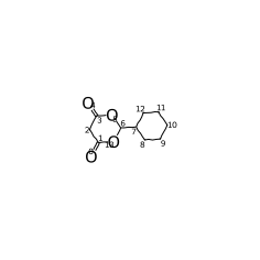 O=C1CC(=O)OC(C2CCCCC2)O1